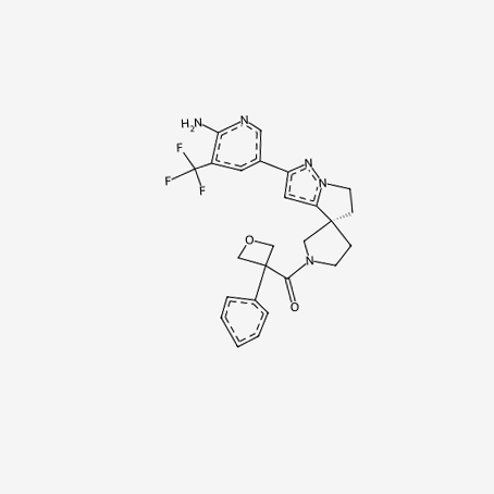 Nc1ncc(-c2cc3n(n2)CC[C@@]32CCN(C(=O)C3(c4ccccc4)COC3)C2)cc1C(F)(F)F